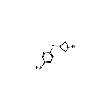 CCN1CC(Oc2ccc(N)cc2)C1